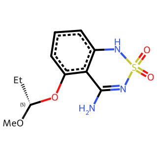 CC[C@@H](OC)Oc1cccc2c1C(N)=NS(=O)(=O)N2